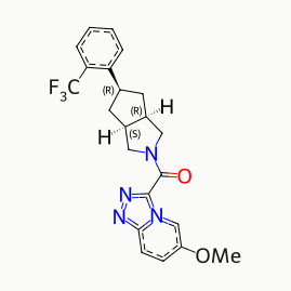 COc1ccc2nnc(C(=O)N3C[C@H]4C[C@@H](c5ccccc5C(F)(F)F)C[C@H]4C3)n2c1